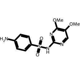 COc1cnc(NS(=O)(=O)c2ccc(N)cc2)nc1OC